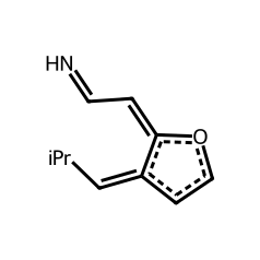 CC(C)/C=c1/cco/c1=C/C=N